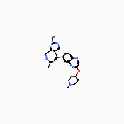 CNc1ncc2c(n1)CN[C@H](C)C=C2c1ccc2ncc(OC3CCN(C)CC3)nc2c1